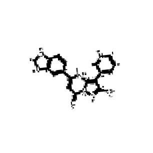 O=c1cc(-c2ccc3c(c2)OCO3)[nH]c2c(-c3cccnc3)c(O)nn12